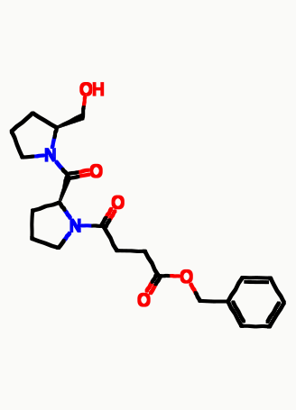 O=C(CCC(=O)N1CCC[C@H]1C(=O)N1CCC[C@H]1CO)OCc1ccccc1